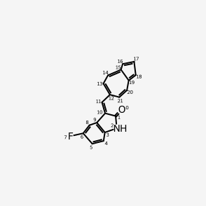 O=C1Nc2ccc(F)cc2/C1=C/c1ccc2cccc-2cc1